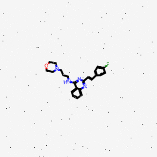 Fc1ccc(C=Cc2nc(NCCCN3CCOCC3)c3ccccc3n2)cc1